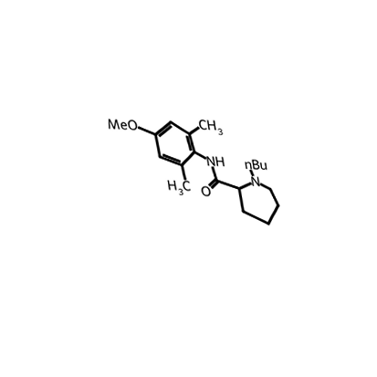 CCCCN1CCCCC1C(=O)Nc1c(C)cc(OC)cc1C